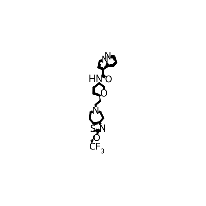 O=C(N[C@H]1CC[C@H](CCN2CCc3nc(OCC(F)(F)F)sc3CC2)OC1)c1ccn2ncccc12